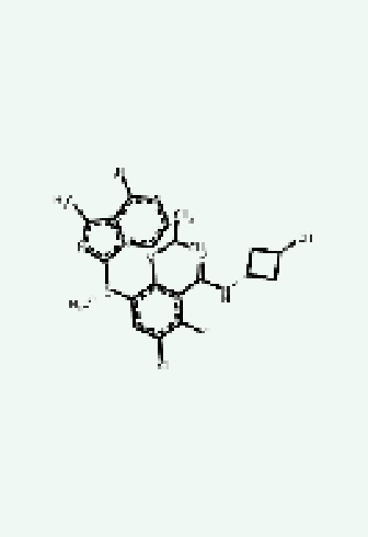 Cc1nc([Si@@H](C)c2cc(Cl)c(F)c(C(=O)N[C@H]3C[C@H](O)C3)c2OC(C)C)n2ccnc(N)c12